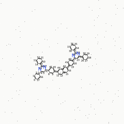 c1ccc(-c2cc(-c3ccc(-c4ccc5ccc(-c6ccc(-c7cc(-c8ccccc8)nc(-c8ccccc8)n7)cc6)cc5c4)cc3)nc(-c3ccccc3)n2)cc1